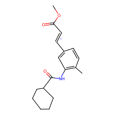 COC(=O)/C=C/c1ccc(C)c(NC(=O)C2CCCCC2)c1